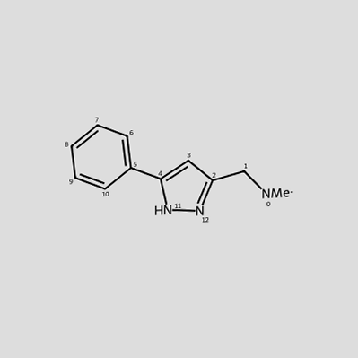 C[N]Cc1cc(-c2ccccc2)[nH]n1